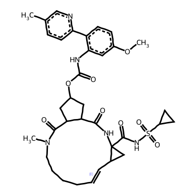 COc1ccc(-c2ccc(C)cn2)c(NC(=O)OC2CC3C(=O)NC4(C(=O)NS(=O)(=O)C5CC5)CC4/C=C/CCCCN(C)C(=O)C3C2)c1